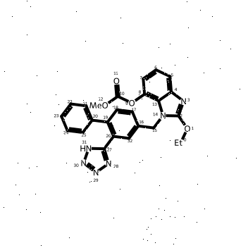 CCOc1nc2cccc(OC(=O)OC)c2n1Cc1ccc(-c2ccccc2)c(-c2nnn[nH]2)c1